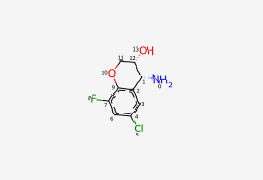 N[C@@H]1c2cc(Cl)cc(F)c2OC[C@@H]1O